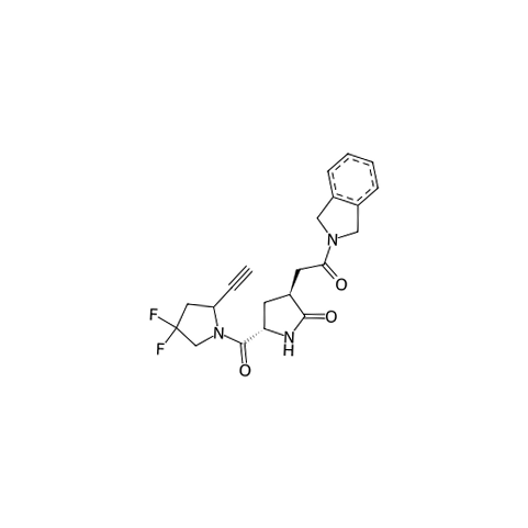 C#CC1CC(F)(F)CN1C(=O)[C@@H]1C[C@@H](CC(=O)N2Cc3ccccc3C2)C(=O)N1